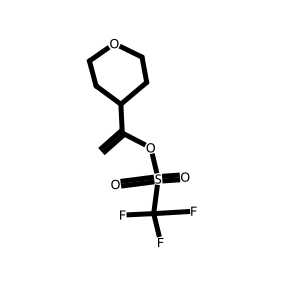 C=C(OS(=O)(=O)C(F)(F)F)C1CCOCC1